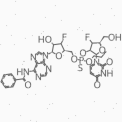 CCCOP(=S)(OC[C@H]1O[C@@H](n2cnc3c(NC(=O)c4ccccc4)ncnc32)C(O)C1F)OC1C(F)[C@@H](CO)O[C@H]1n1ccc(=O)[nH]c1=O